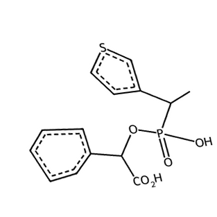 CC(c1ccsc1)P(=O)(O)OC(C(=O)O)c1ccccc1